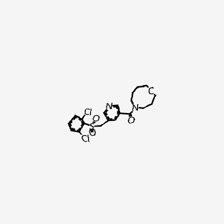 O=C(c1cncc(CS(=O)(=O)c2c(Cl)cccc2Cl)c1)N1CCCCCCCC1